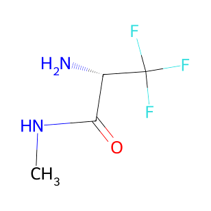 CNC(=O)[C@H](N)C(F)(F)F